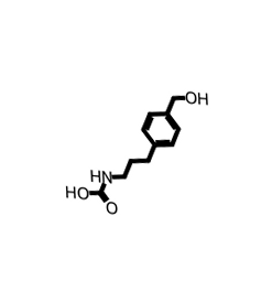 O=C(O)NCCCc1ccc(CO)cc1